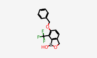 OB1OCc2ccc(OCc3ccccc3)c(C(F)(F)F)c21